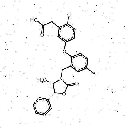 C[C@H]1[C@@H](c2ccccc2)OC(=O)N1Cc1cc(Br)ccc1Oc1ccc(Cl)c(CC(=O)O)c1